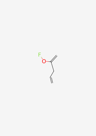 C=CCC(=C)OF